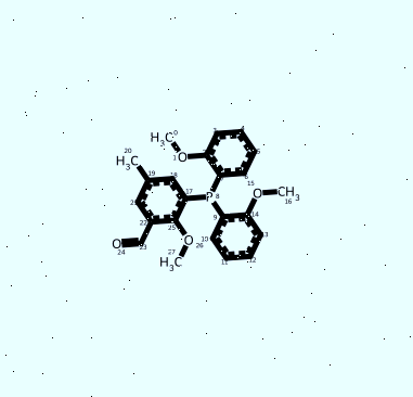 COc1ccccc1P(c1ccccc1OC)c1cc(C)cc(C=O)c1OC